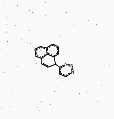 C1=CC(c2ccnnn2)c2cccc3cccc1c23